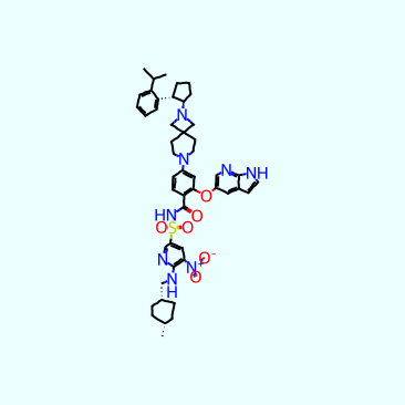 CC(C)c1ccccc1[C@@H]1CCC[C@H]1N1CC2(CCN(c3ccc(C(=O)NS(=O)(=O)c4cnc(NC[C@H]5CC[C@@H](C)CC5)c([N+](=O)[O-])c4)c(Oc4cnc5[nH]ccc5c4)c3)CC2)C1